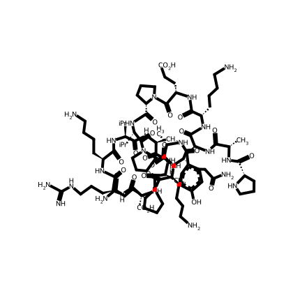 CC(C)[C@H](NC(=O)[C@H](CCCCN)NC(=O)[C@H](CCCNC(=N)N)NC(=O)[C@@H]1CCCN1C(=O)[C@H](CCCCN)NC(=O)[C@H](C)NC(=O)[C@H](CCC(N)=O)NC(=O)[C@@H]1CCCN1C(=O)[C@@H](NC(=O)[C@@H]1CCCN1C(=O)[C@H](CCC(=O)O)NC(=O)[C@H](CCCCN)NC(=O)[C@H](Cc1ccc(O)cc1)NC(=O)[C@H](C)NC(=O)[C@@H]1CCCN1)C(C)C)C(=O)N[C@@H](C)C(=O)N[C@@H](C)C(=O)N[C@@H](CCC(N)=O)C(=O)O